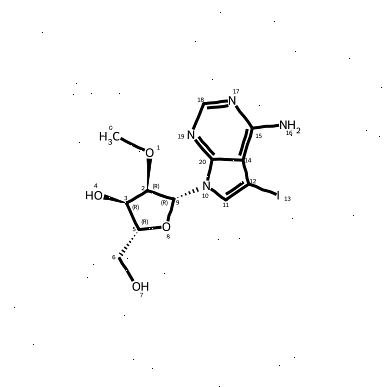 CO[C@@H]1[C@H](O)[C@@H](CO)O[C@H]1n1cc(I)c2c(N)ncnc21